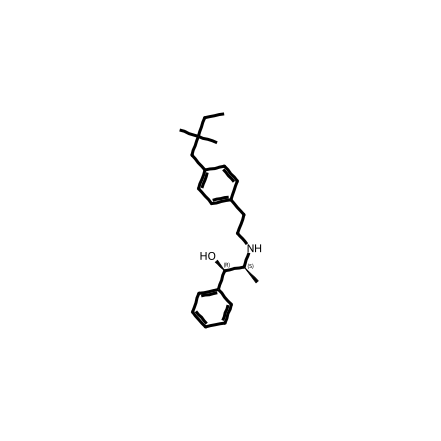 CCC(C)(C)Cc1ccc(CCN[C@@H](C)[C@H](O)c2ccccc2)cc1